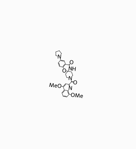 COc1cc(C(=O)N2CCC3(CC2)NC(=O)c2cc(N4CCCC4)ccc2O3)nc2c(OC)cccc12